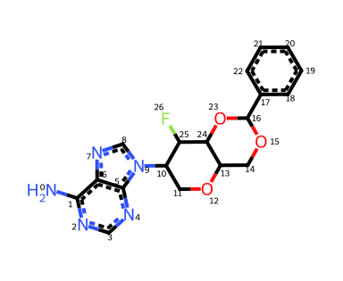 Nc1ncnc2c1ncn2C1COC2COC(c3ccccc3)OC2C1F